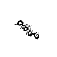 Cc1cccc(-c2nc3ccc(Nc4nccc(-c5cccnc5)n4)cc3[nH]2)c1